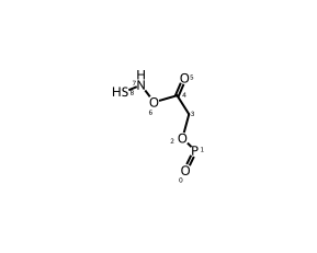 O=POCC(=O)ONS